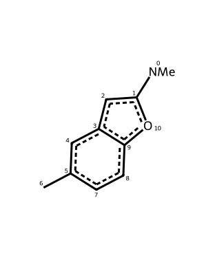 CNc1cc2cc(C)ccc2o1